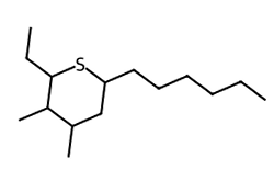 CCCCCCC1CC(C)C(C)C(CC)S1